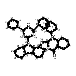 O=c1c2ccccc2n(-c2ccccc2)c2nc3c4c(ccc3n12)c1ccccc1n4-c1nc(-c2ccccc2)nc(-c2ccccc2)n1